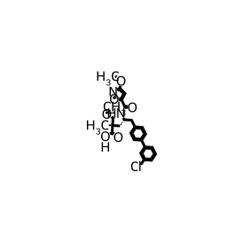 COC[C@](C)(C[C@@H](Cc1ccc(-c2cccc(Cl)c2)cc1)NC(=O)c1cc(OC)no1)C(=O)O